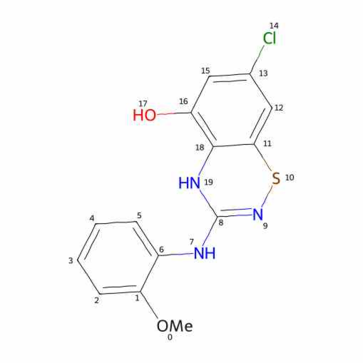 COc1ccccc1NC1=NSc2cc(Cl)cc(O)c2N1